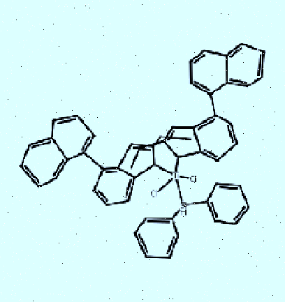 CCC1=Cc2c(-c3cccc4ccccc34)cccc2[CH]1[Ti]([Cl])([Cl])([CH]1C(CC)=Cc2c(-c3cccc4ccccc34)cccc21)[SiH](c1ccccc1)c1ccccc1